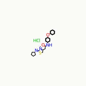 CN1/C(=N/C2CCCC2)SCC1CC(=O)Nc1ccc(Oc2ccccc2)cc1.Cl